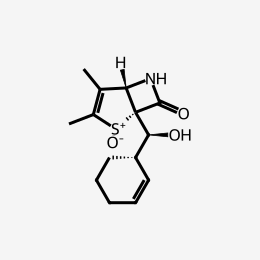 CC1=C(C)[S+]([O-])[C@@]2([C@@H](O)[C@@H]3C=CCCC3)C(=O)N[C@@H]12